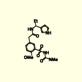 CCC(NC(=O)Cc1ccc(OC)c(S(=O)(=O)NC(=O)NC)c1)c1cc[nH]c1